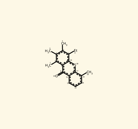 CCc1c(C)c(C)c(C)c2c(=O)c3cccc(C)c3sc12